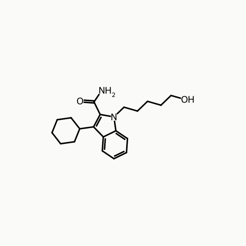 NC(=O)c1c(C2CCCCC2)c2ccccc2n1CCCCCO